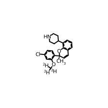 [2H]C([2H])([2H])Oc1cc(Cl)ccc1[C@@]1(C)C=Cc2cccc(C3CCNCC3)c2O1